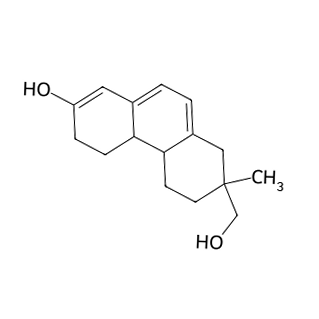 CC1(CO)CCC2C(=CC=C3C=C(O)CCC32)C1